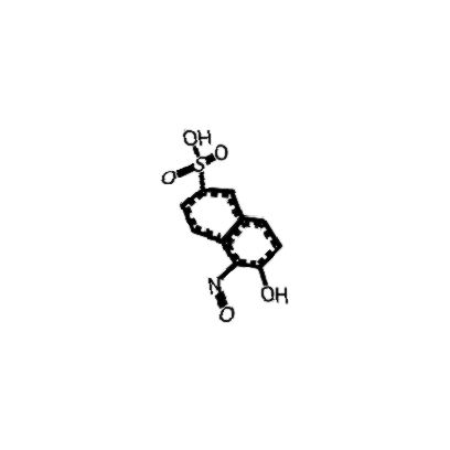 O=Nc1c(O)ccc2cc(S(=O)(=O)O)ccc12